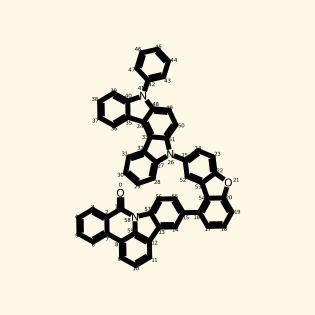 O=c1c2ccccc2c2cccc3c4cc(-c5cccc6oc7ccc(-n8c9ccccc9c9c%10c%11ccccc%11n(-c%11ccccc%11)c%10ccc98)cc7c56)ccc4n1c23